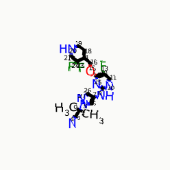 CC(C)(C#N)n1cc(Nc2ncc(F)c(OCC3CCNCC3(F)F)n2)cn1